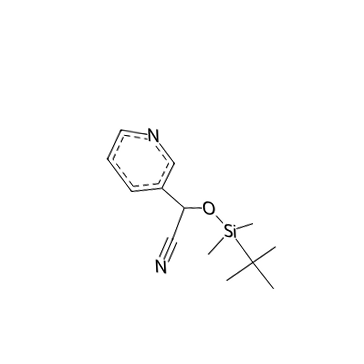 CC(C)(C)[Si](C)(C)OC(C#N)c1cccnc1